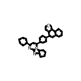 c1ccc(-c2cc(-c3ccc(-c4cc5ccccc5c5ccccc45)cc3)n3c(n2)nc2ccccc23)cc1